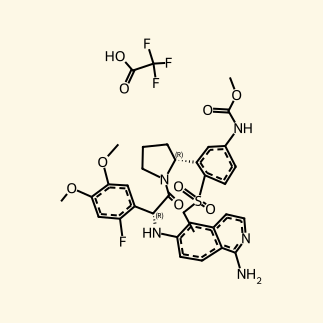 CCS(=O)(=O)c1ccc(NC(=O)OC)cc1[C@H]1CCCN1C(=O)[C@H](Nc1ccc2c(N)nccc2c1)c1cc(OC)c(OC)cc1F.O=C(O)C(F)(F)F